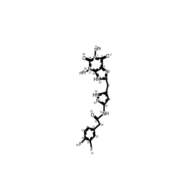 CCCn1c(=O)c2nc(Cc3cc(NC(=O)Cc4ccc(F)c(F)c4)n[nH]3)[nH]c2n(CCC)c1=O